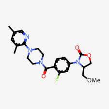 COCC1COC(=O)N1c1ccc(C(=O)N2CCN(c3ncc(C)cc3C)CC2)c(F)c1